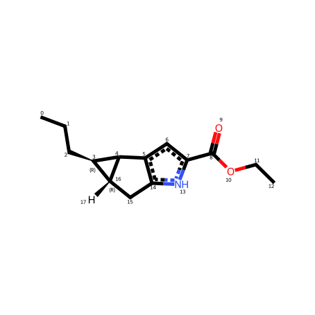 CCC[C@H]1C2c3cc(C(=O)OCC)[nH]c3C[C@@H]21